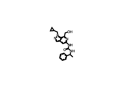 CC(NC(=O)Nc1cc2cnn(CC3CC3)c2c(CO)n1)c1ccccc1